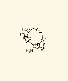 CC1CCCC[C@@H](C)Oc2nc(c(N)cc2C(F)(F)F)-c2nnc(o2)[C@@]1(O)C(F)(F)F